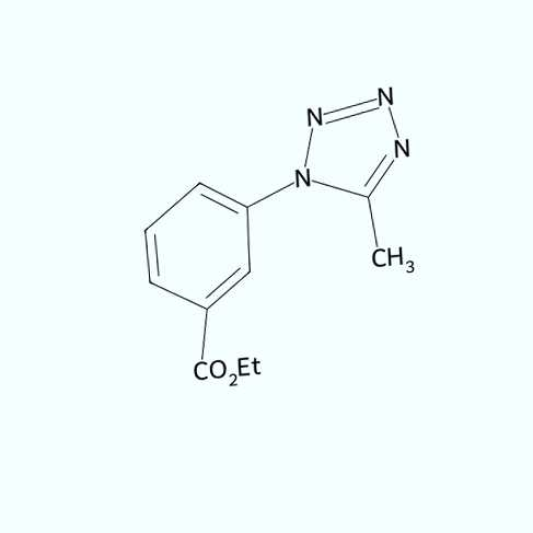 CCOC(=O)c1cccc(-n2nnnc2C)c1